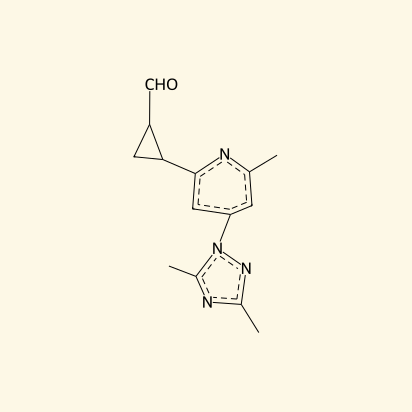 Cc1cc(-n2nc(C)nc2C)cc(C2CC2C=O)n1